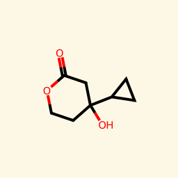 O=C1CC(O)(C2CC2)CCO1